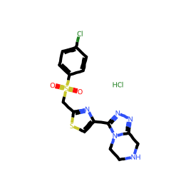 Cl.O=S(=O)(Cc1nc(-c2nnc3n2CCNC3)cs1)c1ccc(Cl)cc1